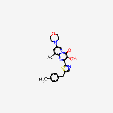 CC(=O)c1cc(N2CCOCC2)cn2c(=O)c(O)c(-c3ncc(Cc4ccc(C)cc4)s3)nc12